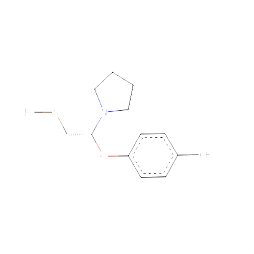 CCSC[C@@H](Oc1ccc(C(F)(F)F)cc1)N1CCCC1